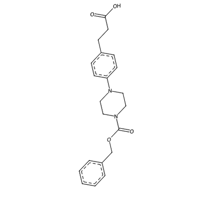 O=C(O)CCc1ccc(N2CCN(C(=O)OCc3ccccc3)CC2)cc1